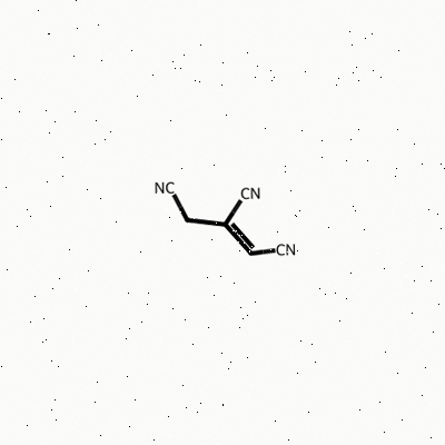 N#C/C=C(\C#N)CC#N